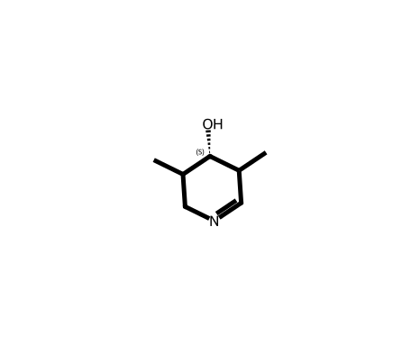 CC1C=NCC(C)[C@@H]1O